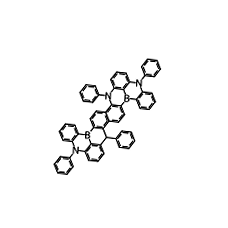 c1ccc(C2c3cccc4c3B(c3ccccc3N4c3ccccc3)c3ccc4c5c(ccc4c32)B2c3ccccc3N(c3ccccc3)c3cccc(c32)N5c2ccccc2)cc1